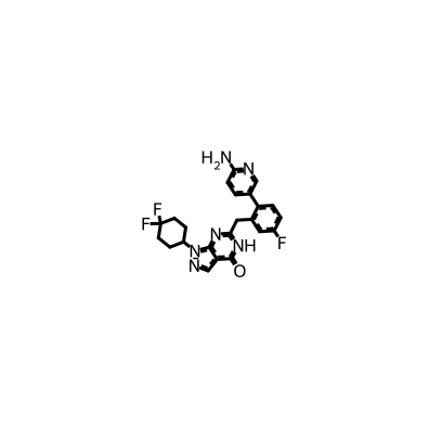 Nc1ccc(-c2ccc(F)cc2Cc2nc3c(cnn3C3CCC(F)(F)CC3)c(=O)[nH]2)cn1